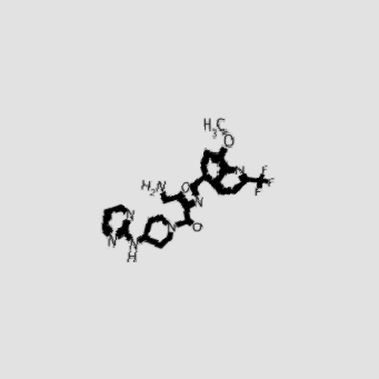 COc1ccc(-c2nc(C(=O)N3CCC(Nc4ncccn4)CC3)c(CN)o2)c2ccc(C(F)(F)F)nc12